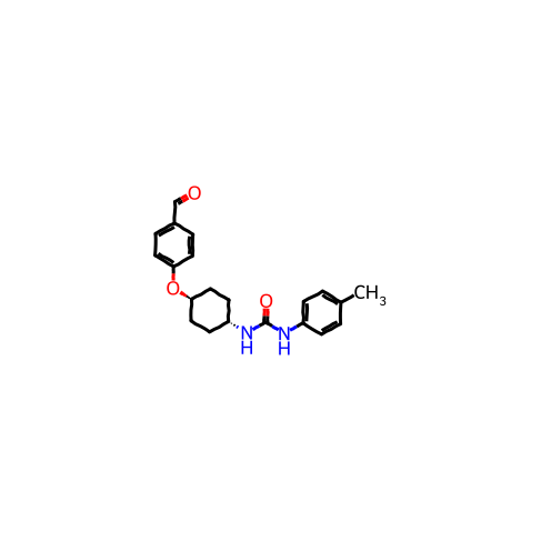 Cc1ccc(NC(=O)N[C@H]2CC[C@H](Oc3ccc(C=O)cc3)CC2)cc1